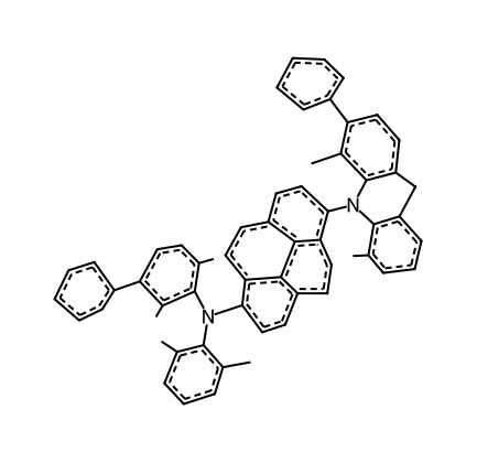 Cc1cccc(C)c1N(c1c(C)ccc(-c2ccccc2)c1C)c1ccc2ccc3c(N4c5c(C)cccc5Cc5ccc(-c6ccccc6)c(C)c54)ccc4ccc1c2c43